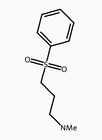 [CH2]NCCCS(=O)(=O)c1ccccc1